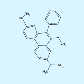 CC[n+]1c(-c2ccccc2)c2cc(NN)ccc2c2ccc(N(C)N)cc21